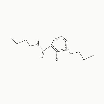 CCCCNC(=O)c1ccc[n+](CCCC)c1Cl